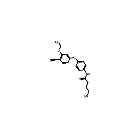 CCOc1cc(Oc2ccc(NC(=O)CCCN)cc2)ccc1C#N